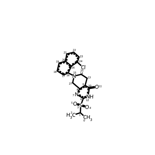 CC(C)S(=O)(=O)c1nc2c(c(=O)[nH]1)CCN(c1cccc3cccc(Cl)c13)C2